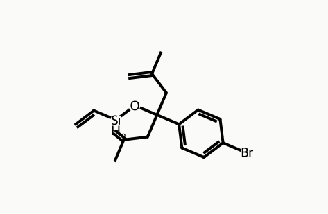 C=C[SiH2]OC(CC(=C)C)(CC(=C)C)c1ccc(Br)cc1